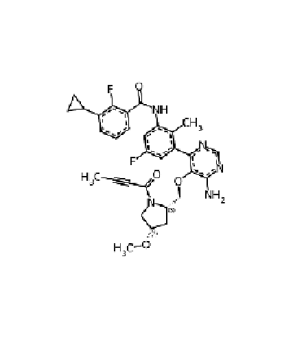 CC#CC(=O)N1C[C@@H](OC)C[C@H]1COc1c(N)ncnc1-c1cc(F)cc(NC(=O)c2cccc(C3CC3)c2F)c1C